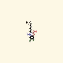 C=CCCCCCC(Nc1ccc(F)c(F)c1)C(=O)O